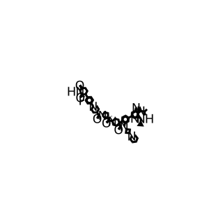 CC(C)n1cnc2cc(-c3ccc4c(c3)N([C@H]3C[C@@H](N5CCCCC5)C3)C(=O)C43CCN(C(=O)[C@]4(C)CCN(C(=O)C5CCN(c6ccc(C7CCC(=O)NC7=O)c(F)c6)CC5)C4)CC3)nc(NC3CC3)c21